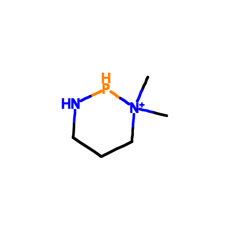 C[N+]1(C)CCCNP1